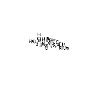 CNC(C)(C)CC(CC(=O)C(=O)NCC(O)CO)CC(C)C